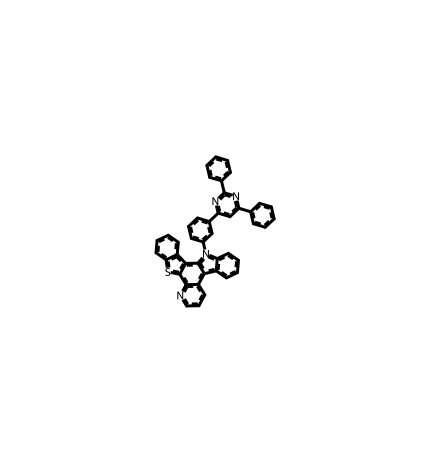 c1ccc(-c2cc(-c3cccc(-n4c5ccccc5c5c6cccnc6c6sc7ccccc7c6c54)c3)nc(-c3ccccc3)n2)cc1